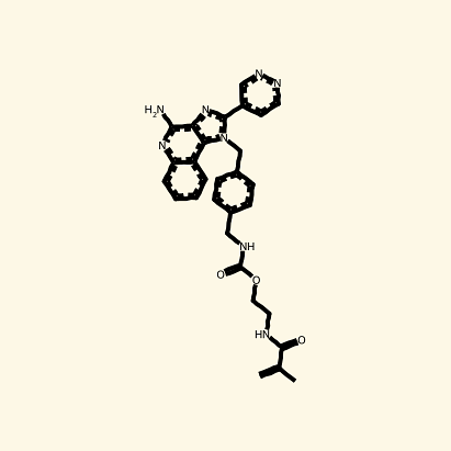 C=C(C)C(=O)NCCOC(=O)NCc1ccc(Cn2c(-c3ccnnc3)nc3c(N)nc4ccccc4c32)cc1